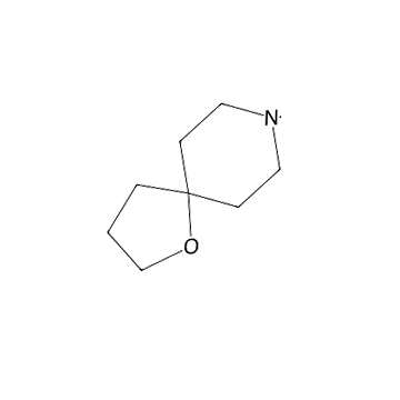 C1COC2(C1)CC[N]CC2